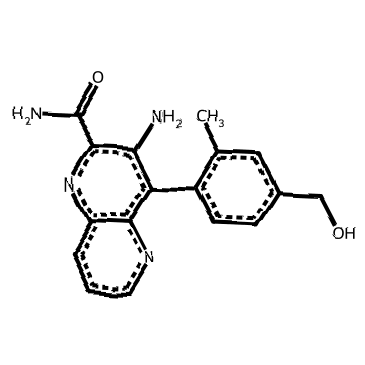 Cc1cc(CO)ccc1-c1c(N)c(C(N)=O)nc2cccnc12